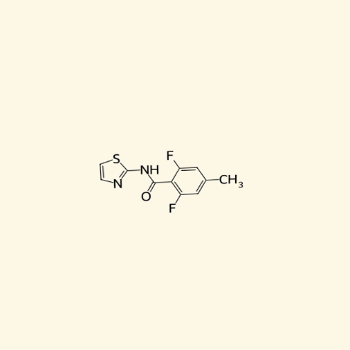 Cc1cc(F)c(C(=O)Nc2nccs2)c(F)c1